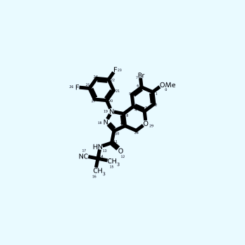 COc1cc2c(cc1Br)-c1c(c(C(=O)NC(C)(C)C#N)nn1-c1cc(F)cc(F)c1)CO2